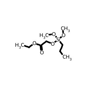 CCC[Si](OC)(OC)OCC(=O)OCC